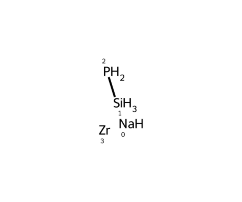 [NaH].[SiH3]P.[Zr]